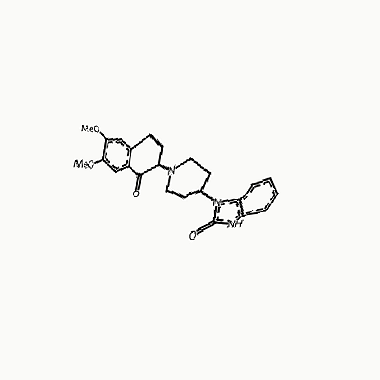 COc1cc2c(cc1OC)C(=O)C(N1CCC(n3c(=O)[nH]c4ccccc43)CC1)CC2